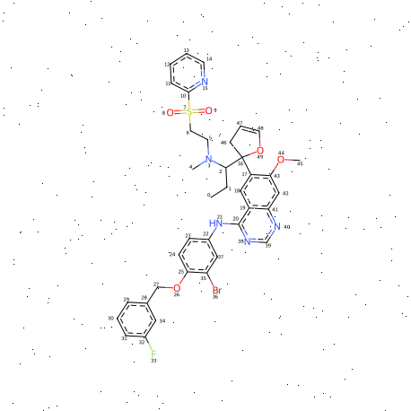 CCC(N(C)CCS(=O)(=O)c1ccccn1)C1(c2cc3c(Nc4ccc(OCc5cccc(F)c5)c(Br)c4)ncnc3cc2OC)CC=CO1